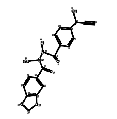 C#CC(O)c1ccc(C(=O)N(CC)N(C(=O)c2ccc3c(c2)OCO3)C(C)(C)C)cc1